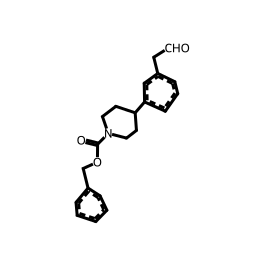 O=CCc1cccc(C2CCN(C(=O)OCc3ccccc3)CC2)c1